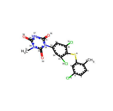 Cc1ccc(Cl)cc1Sc1c(Cl)cc(-n2c(=O)[nH]c(=O)n(C)c2=O)cc1Cl